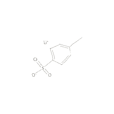 Cc1ccc(S(=O)(=O)[O-])cc1.[Li+]